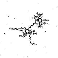 COCCOCCO[C@@H]1[C@@H](OP(=O)(O)O)[C@H](OCCOCCOC)[C@@H](OC)[C@@H](OCCCCC(=O)O[C@H]2[C@@H](OP(=O)(O)O)[C@H](OC)[C@@H](OC)[C@H](OP(=O)(O)O)[C@H]2OP(=O)(O)O)[C@H]1OP(=O)(O)O